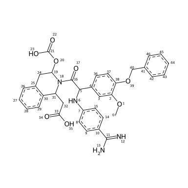 COc1cc(C(Nc2ccc(C(=N)N)cc2)C(=O)N2C(OC(=O)O)Cc3ccccc3C2CC(=O)O)ccc1OCc1ccccc1